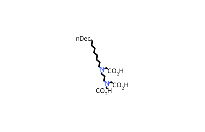 CCCCCCCCCCCCCCCCCCN(CCCN(CC(=O)O)CC(=O)O)CC(=O)O